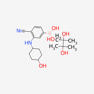 CC(C)(O)C(C)(C)O.N#Cc1ccc(B(O)O)cc1NC1CCC(O)CC1